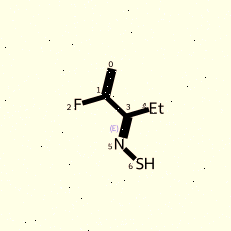 C=C(F)/C(CC)=N/S